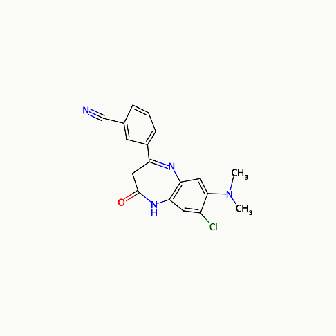 CN(C)c1cc2c(cc1Cl)NC(=O)CC(c1cccc(C#N)c1)=N2